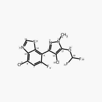 Cn1nc(-c2c(F)cc(Cl)c3ncsc23)c(Cl)c1OC(F)F